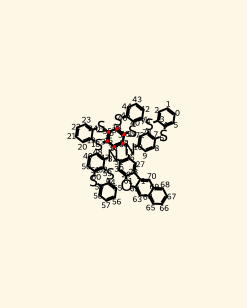 c1ccc2c(c1)Sc1ccc(N(c3ccc4c(c3)Sc3ccccc3S4)c3cc4c(cc3N(c3ccc5c(c3)Sc3ccccc3S5)c3cccc5c3Sc3ccccc3S5)oc3cc5ccccc5cc34)cc1S2